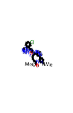 CNc1ccc2c(c1)NC(C(=O)OC)CCCC[C@H](NC(=O)/C=C/C1=C(N(N)/C=N\N)C=CCC(Cl)=C1)c1cc-2ncn1